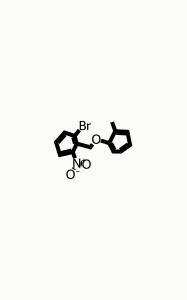 Cc1ccccc1OCc1c(Br)cccc1[N+](=O)[O-]